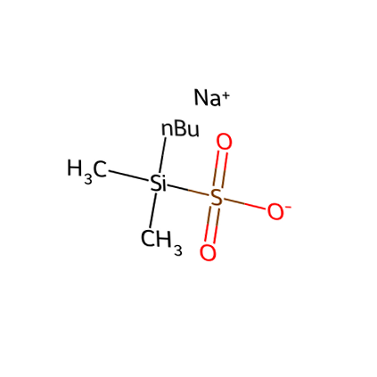 CCCC[Si](C)(C)S(=O)(=O)[O-].[Na+]